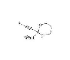 CCCCCC1(C#CI)OCCCO1